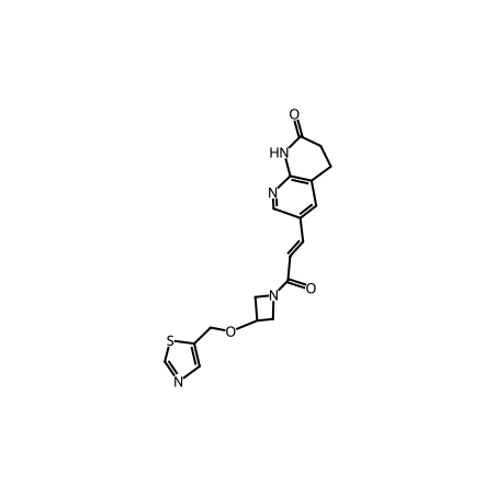 O=C1CCc2cc(C=CC(=O)N3CC(OCc4cncs4)C3)cnc2N1